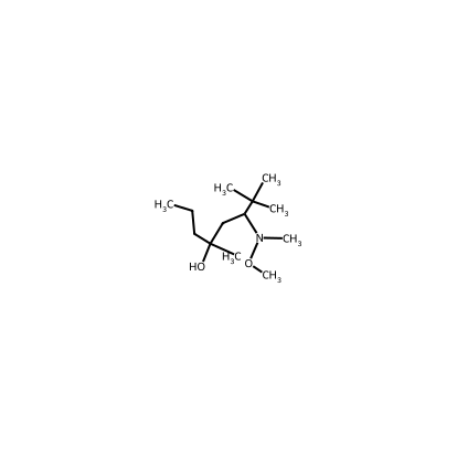 CCCC(C)(O)CC(N(C)OC)C(C)(C)C